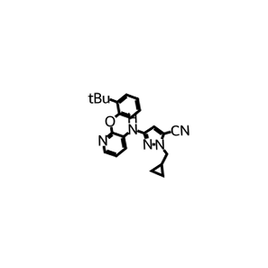 CC(C)(C)c1ccccc1Oc1ncccc1Nc1cc(C#N)n(CC2CC2)n1